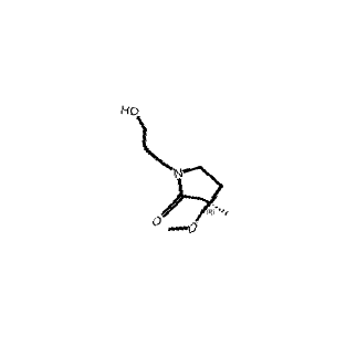 CO[C@]1(C)CCN(CCO)C1=O